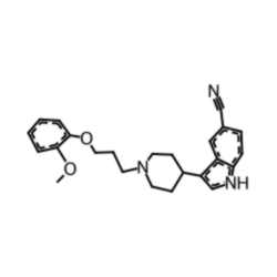 COc1ccccc1OCCCN1CCC(c2c[nH]c3ccc(C#N)cc23)CC1